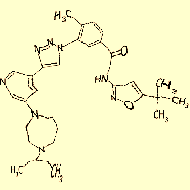 Cc1ccc(C(=O)Nc2cc(C(C)(C)C)on2)cc1-n1cc(-c2cncc(N3CCCN(C(C)C)CC3)c2)nn1